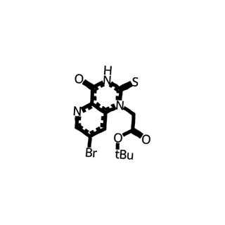 CC(C)(C)OC(=O)Cn1c(=S)[nH]c(=O)c2ncc(Br)cc21